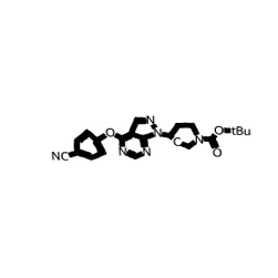 CC(C)(C)OC(=O)N1CCC(n2ncc3c(Oc4ccc(C#N)cc4)ncnc32)CC1